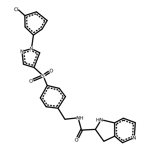 O=C(NCc1ccc(S(=O)(=O)c2cnn(-c3cccc(Cl)c3)c2)cc1)C1Cc2cnccc2N1